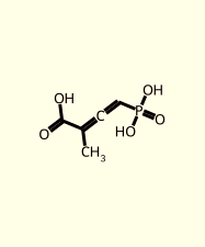 CC(=C=CP(=O)(O)O)C(=O)O